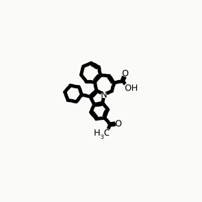 CC(=O)c1ccc2c(C3CCCCC3)c3n(c2c1)CC(C(=O)O)=CC1=C3CCCC=C1